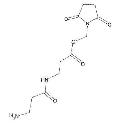 NCCC(=O)NCCC(=O)OCN1C(=O)CCC1=O